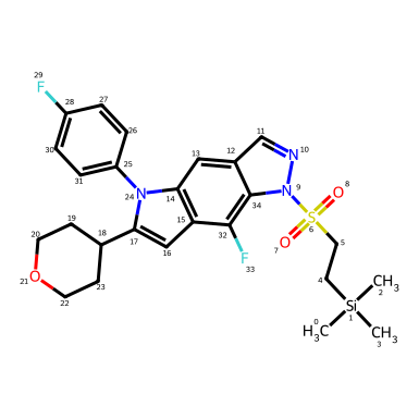 C[Si](C)(C)CCS(=O)(=O)n1ncc2cc3c(cc(C4CCOCC4)n3-c3ccc(F)cc3)c(F)c21